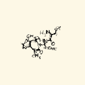 CCCCCCCCCCC(NC(=O)C(N)CC(C)C)n1c(=O)c2c(ncn2C)n(C)c1=O